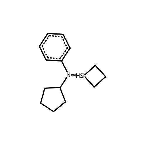 c1ccc(N(C2CCCC2)[SiH]2CCC2)cc1